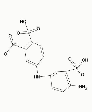 Nc1ccc(Nc2ccc(S(=O)(=O)O)c([N+](=O)[O-])c2)cc1S(=O)(=O)O